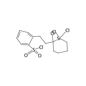 O=S(=O)(Cl)c1ccccc1CCC1(Cl)CCCC[Si]1(Cl)Cl